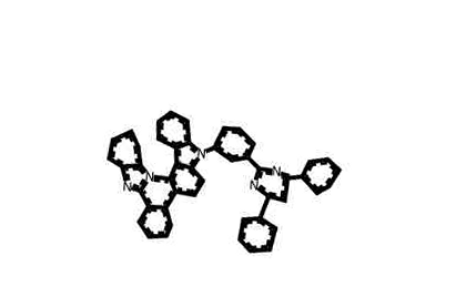 c1ccc(-c2cc(-c3ccccc3)nc(-c3cccc(-n4c5ccccc5c5c4ccc4c6ccccc6c6nc7ccccc7n6c45)c3)n2)cc1